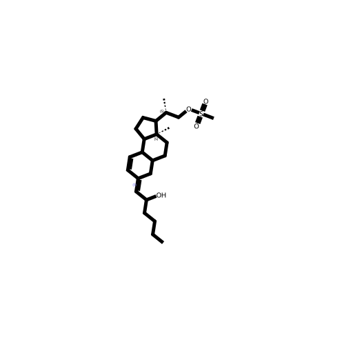 CCCCC(O)/C=C1/C=CC2C(CC[C@@]3(C)C2CCC3[C@H](C)COS(C)(=O)=O)C1